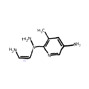 Cc1cc(N)cnc1N(N)/C=C\N